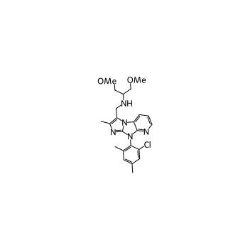 COCC(COC)NCc1c(C)nc2n(-c3c(C)cc(C)cc3Cl)c3ncccc3n12